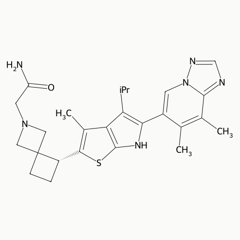 Cc1c(-c2[nH]c3sc([C@@H]4CCC45CN(CC(N)=O)C5)c(C)c3c2C(C)C)cn2ncnc2c1C